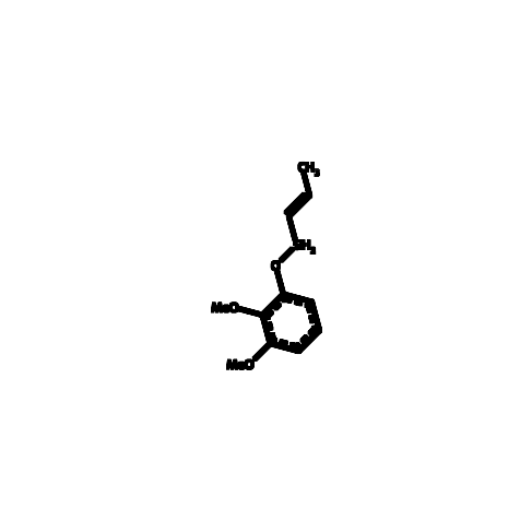 CC=C[SiH2]Oc1cccc(OC)c1OC